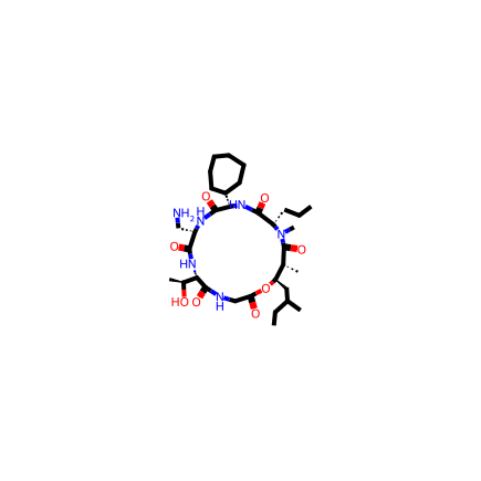 CCC[C@H]1C(=O)N[C@@H](C2CCCCCC2)C(=O)N[C@@H](CN)C(=O)N[C@@H]([C@H](C)O)C(=O)NCC(=O)O[C@H](CC(C)CC)[C@@H](C)C(=O)N1C